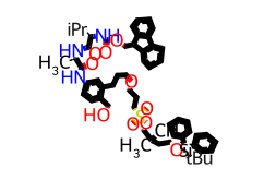 CC(C)[C@H](NC(=O)OCC1c2ccccc2-c2ccccc21)C(=O)N[C@@H](C)C(=O)Nc1ccc(CO)c(CCCOCCCS(=O)(=O)OCC(C)(C)CCO[Si](c2ccccc2)(c2ccccc2)C(C)(C)C)c1